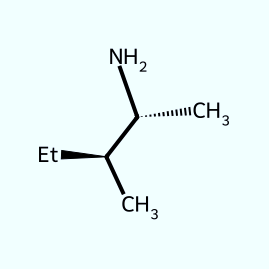 CC[C@H](C)[C@@H](C)N